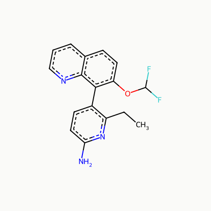 CCc1nc(N)ccc1-c1c(OC(F)F)ccc2cccnc12